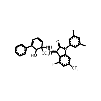 Cc1cc(C)cc(N2C(=O)/C(=N\NC3(C(=O)O)C=CC=C(c4ccccc4)C3O)c3c(F)cc(C(F)(F)F)cc32)c1